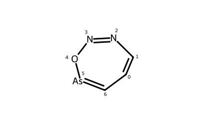 C1=CN=NO[As]=C1